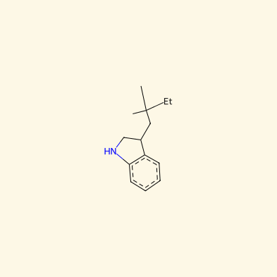 CCC(C)(C)CC1CNc2ccccc21